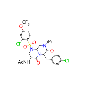 CC(=O)NC1CN(S(=O)(=O)c2ccc(OC(F)(F)F)cc2Cl)C2CN(C(C)C)C(=O)C(Cc3ccc(Cl)cc3)N2C1=O